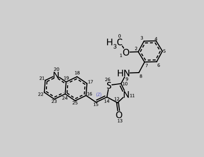 COc1ccccc1CNC1=NC(=O)/C(=C/c2ccc3ncccc3c2)S1